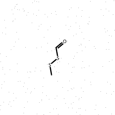 CSSC=O